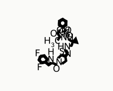 CC(NP(=O)(OCC1(CNc2nc3c(s2)CN(C(=O)c2cc4c(F)cc(F)cc4[nH]2)CC3)CC1)Oc1ccccc1)C(=O)O